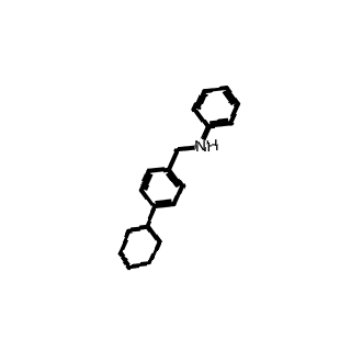 c1ccc(NCc2ccc(C3CCCCC3)cc2)cc1